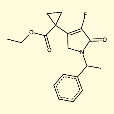 CCOC(=O)C1(C2=C(F)C(=O)N(C(C)c3ccccc3)C2)CC1